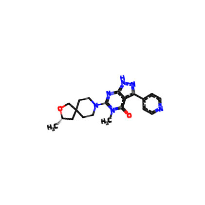 C[C@H]1CC2(CCN(c3nc4[nH]nc(-c5ccncc5)c4c(=O)n3C)CC2)CO1